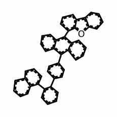 c1ccc(-c2cccc3ccccc23)c(-c2ccc(-c3c4ccccc4c(-c4cccc5c4oc4ccccc45)c4ccccc34)cc2)c1